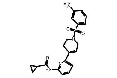 O=C(Nc1cccc(C2=CCN(S(=O)(=O)c3cccc(C(F)(F)F)c3)CC2)n1)C1CC1